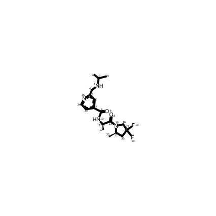 CC(C)NCc1cc(C(=O)N[C@H](C)C(=O)N2CC(F)(F)C[C@H]2C)ccn1